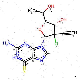 C#CC1(Cl)[C@@H](O)[C@@H]([C@@H](C)O)O[C@H]1n1cnc2c(=S)[nH]c(N)nc21